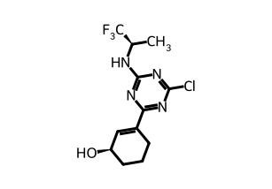 C[C@@H](Nc1nc(Cl)nc(C2=C[C@H](O)CCC2)n1)C(F)(F)F